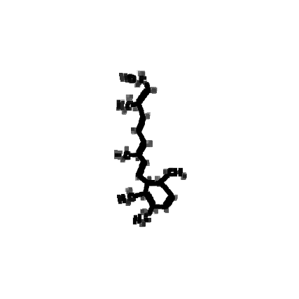 CC(/C=C/c1c(C)ccc(C)c1C)=C\C=C\C(C)=C\C(=O)O